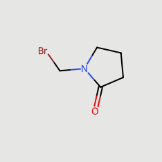 O=C1CCCN1CBr